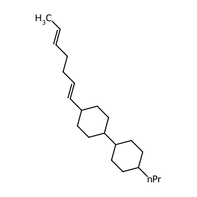 CC=CCCC=CC1CCC(C2CCC(CCC)CC2)CC1